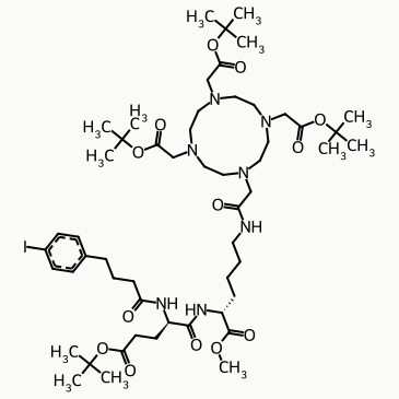 COC(=O)[C@@H](CCCCNC(=O)CN1CCN(CC(=O)OC(C)(C)C)CCN(CC(=O)OC(C)(C)C)CCN(CC(=O)OC(C)(C)C)CC1)NC(=O)[C@@H](CCC(=O)OC(C)(C)C)NC(=O)CCCc1ccc(I)cc1